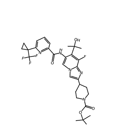 CC(C)(C)OC(=O)N1CCC(c2cn3cc(NC(=O)c4cccc(C5(C(F)(F)F)CC5)n4)c(C(C)(C)O)c(F)c3n2)CC1